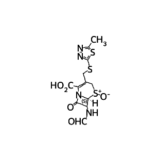 Cc1nnc(SCC2=C(C(=O)O)N3C(=O)C(NC=O)[C@@H]3[S+]([O-])C2)s1